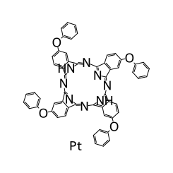 [Pt].c1ccc(Oc2ccc3c(c2)-c2nc-3nc3[nH]c(nc4nc(nc5[nH]c(n2)c2ccc(Oc6ccccc6)cc52)-c2ccc(Oc5ccccc5)cc2-4)c2ccc(Oc4ccccc4)cc32)cc1